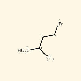 CC(C)CCC(C)C(=O)O